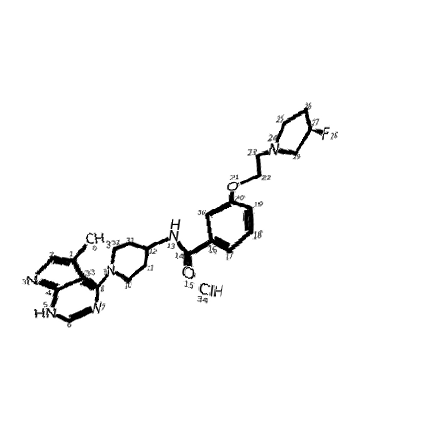 Cc1cnc2[nH]cnc(N3CCC(NC(=O)c4cccc(OCCN5CC[C@@H](F)C5)c4)CC3)c1-2.Cl